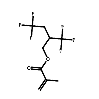 C=C(C)C(=O)OCC(CC(F)(F)F)C(F)(F)F